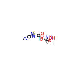 C[C@@H](CCC(=O)Oc1c(F)cc(-c2nc(-c3ccc(N4CCCC4)cc3)ns2)cc1C=O)[C@H](N)C(=O)O